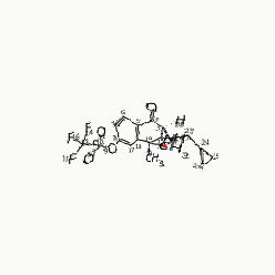 C[C@H]1[C@H]2C(=O)c3ccc(OS(=O)(=O)C(F)(F)F)cc3[C@@]1(C)CN2CC1CC1